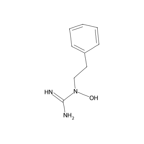 N=C(N)N(O)CCc1ccccc1